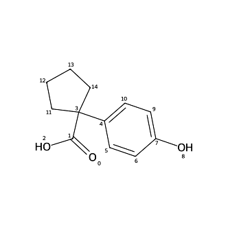 O=C(O)C1(c2ccc(O)cc2)CCCC1